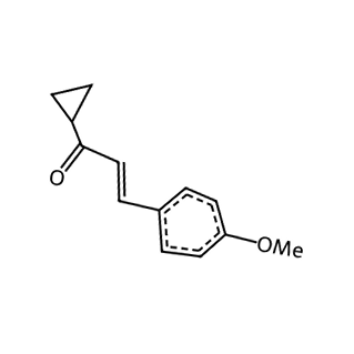 COc1ccc(C=CC(=O)C2CC2)cc1